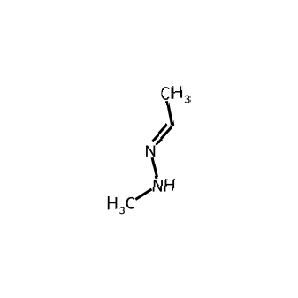 CC=NNC